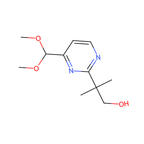 COC(OC)c1ccnc(C(C)(C)CO)n1